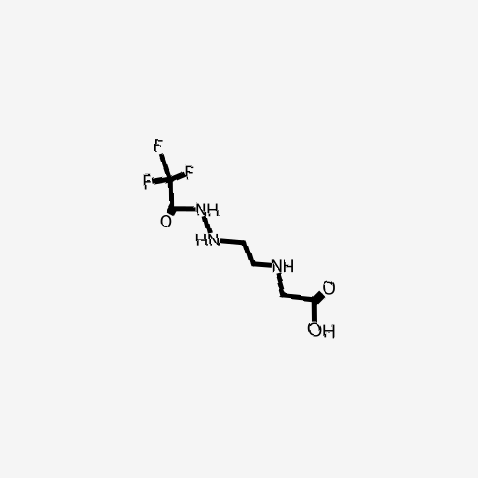 O=C(O)CNCCNNC(=O)C(F)(F)F